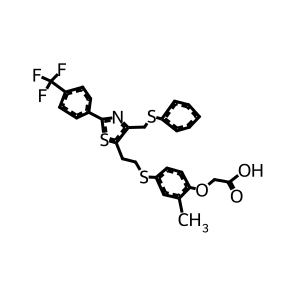 Cc1cc(SCCc2sc(-c3ccc(C(F)(F)F)cc3)nc2CSc2ccccc2)ccc1OCC(=O)O